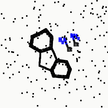 CCN.CCN.c1ccc2c(c1)Cc1ccccc1-2